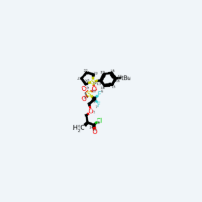 C=C(COCC(F)(F)S(=O)(=O)OS1(c2ccc(C(C)(C)C)cc2)CCCC1)C(=O)Cl